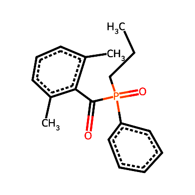 CCCP(=O)(C(=O)c1c(C)cccc1C)c1ccccc1